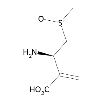 C=C(C(=O)O)[C@@H](N)C[S+](C)[O-]